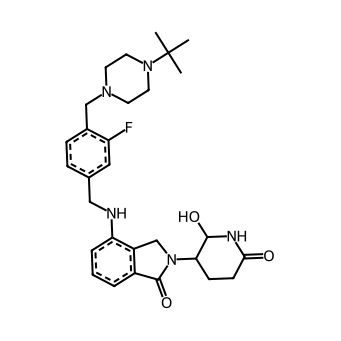 CC(C)(C)N1CCN(Cc2ccc(CNc3cccc4c3CN(C3CCC(=O)NC3O)C4=O)cc2F)CC1